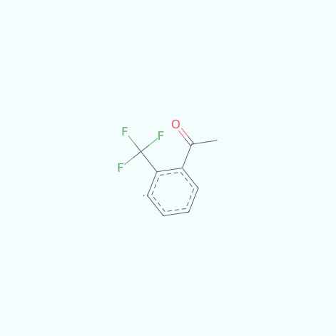 CC(=O)c1ccc[c]c1C(F)(F)F